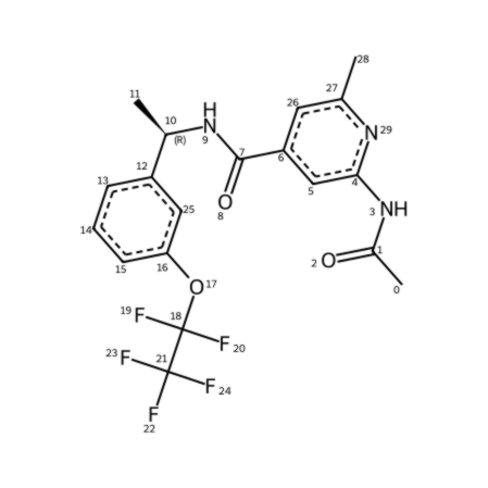 CC(=O)Nc1cc(C(=O)N[C@H](C)c2cccc(OC(F)(F)C(F)(F)F)c2)cc(C)n1